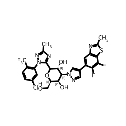 Cc1nc(C2O[C@H](CO)[C@H](O)[C@H](n3cc(-c4cc5nc(C)sc5c(F)c4F)cn3)[C@H]2O)n(-c2cc(Cl)ccc2C(F)(F)F)n1